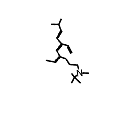 C=CC(/C=C/C(C)C)=C\C(=C/C)CCCN(C)C(C)(C)C